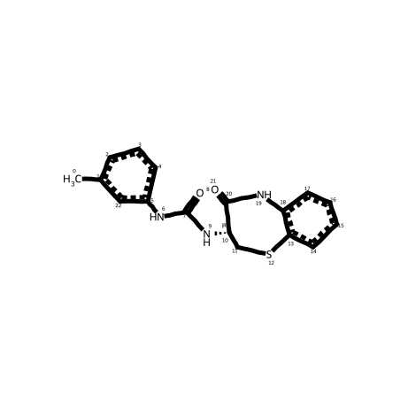 Cc1cccc(NC(=O)N[C@H]2CSc3ccccc3NC2=O)c1